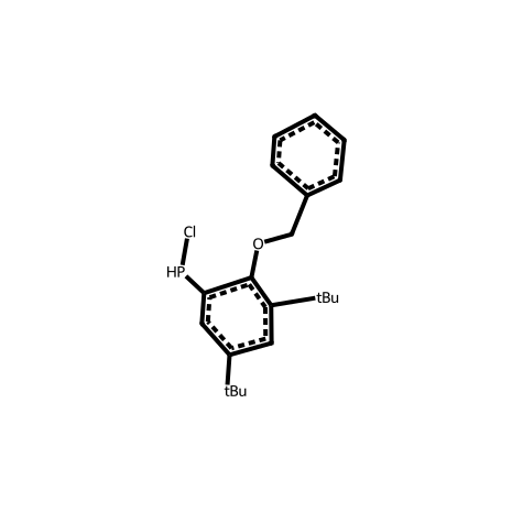 CC(C)(C)c1cc(PCl)c(OCc2ccccc2)c(C(C)(C)C)c1